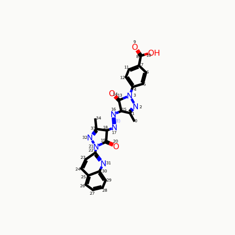 CC1=NN(c2ccc(C(=O)O)cc2)C(=O)C1/N=N/C1C(=O)N(c2ccc3ccccc3n2)N=C1C